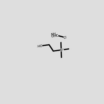 C[N+](C)(C)CCO.N.O=CCl